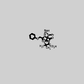 CC(C)N(C(C)C)C1(NC(=O)COc2ccccc2)C(=O)N2[C@@H](C(=O)O)C(C)(C)S[C@@H]21.[NaH]